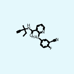 C#CC(C)(CC)NC(=O)c1cccnc1[AsH]c1ccc(F)c(C#N)c1